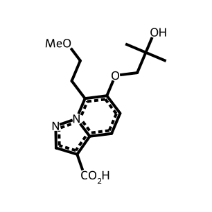 COCCc1c(OCC(C)(C)O)ccc2c(C(=O)O)cnn12